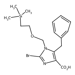 C[Si](C)(C)CCOCn1c(Br)nc(C(=O)O)c1Cc1ccccc1